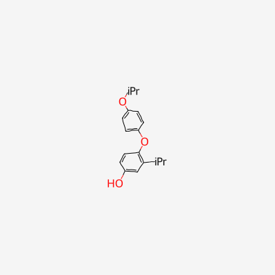 CC(C)Oc1ccc(Oc2ccc(O)cc2C(C)C)cc1